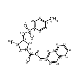 Cc1ccc(S(=O)(=O)O[C@H]2CN(C(=O)OCc3ccc4ccccc4c3)C[C@@H]2F)cc1